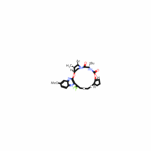 COc1ccc2nc3c(nc2c1)O[C@H]1CN(C(=O)[C@H](C(C)(C)C)NC(=O)O[C@@H]2CCC[C@H]2CCCCC3(F)F)[C@H](C(C)=O)[C@@H]1C